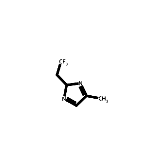 CC1=NC(CC(F)(F)F)N=C1